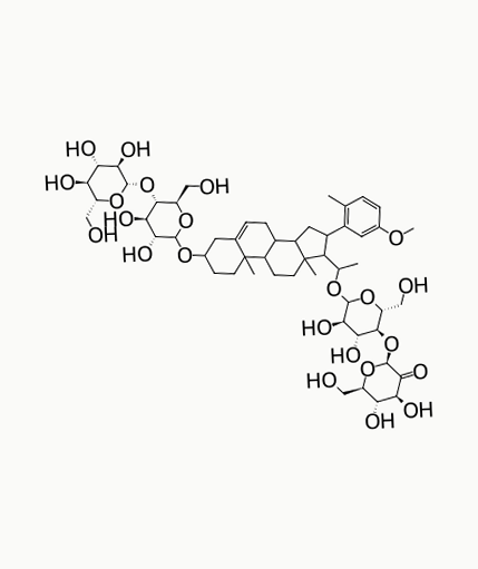 COc1ccc(C)c(C2CC3C4CC=C5CC(OC6O[C@H](CO)[C@@H](O[C@@H]7O[C@H](CO)[C@@H](O)[C@H](O)[C@H]7O)[C@H](O)[C@H]6O)CCC5(C)C4CCC3(C)C2C(C)OC2O[C@H](CO)[C@@H](O[C@@H]3O[C@H](CO)[C@@H](O)[C@H](O)C3=O)[C@H](O)[C@H]2O)c1